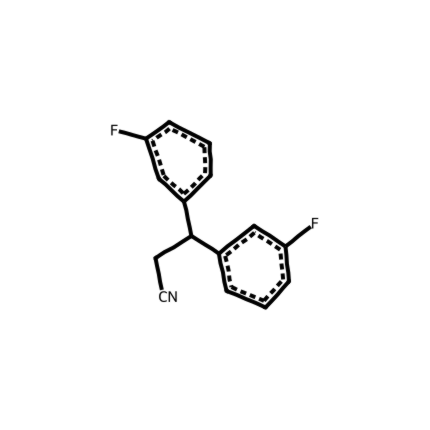 N#CCC(c1cccc(F)c1)c1cccc(F)c1